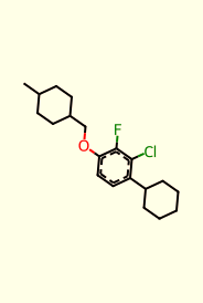 CC1CCC(COc2ccc(C3CCCCC3)c(Cl)c2F)CC1